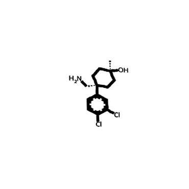 C[C@]1(O)CC[C@@](CN)(c2ccc(Cl)c(Cl)c2)CC1